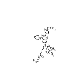 CCOC(=O)CCCCCN(C(=O)OC(C)(C)C)c1cc2nc(-c3ccc(OC)nc3)nc(N3CCOCC3)c2s1